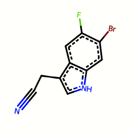 N#CCc1c[nH]c2cc(Br)c(F)cc12